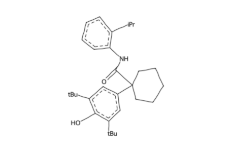 CC(C)c1ccccc1NC(=O)C1(c2cc(C(C)(C)C)c(O)c(C(C)(C)C)c2)CCCCC1